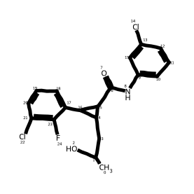 CC(O)CC1C(C(=O)Nc2cccc(Cl)c2)C1c1cccc(Cl)c1F